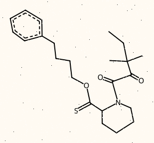 CCC(C)(C)C(=O)C(=O)N1CCCCC1C(=S)OCCCCc1ccccc1